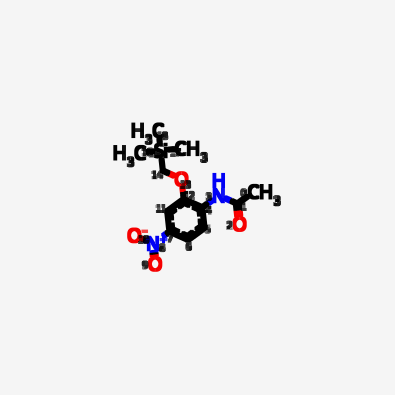 CC(=O)Nc1ccc([N+](=O)[O-])cc1OC[Si](C)(C)C